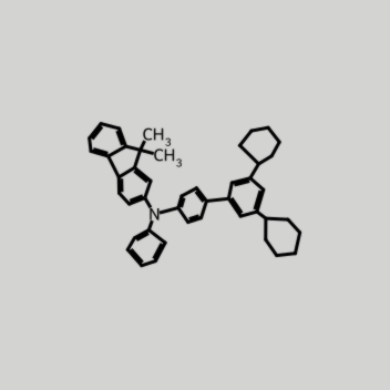 CC1(C)c2ccccc2-c2ccc(N(c3ccccc3)c3ccc(-c4cc(C5CCCCC5)cc(C5CCCCC5)c4)cc3)cc21